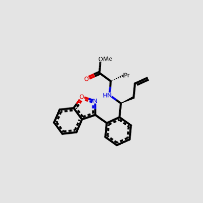 C=CC[C@H](N[C@H](C(=O)OC)C(C)C)c1ccccc1-c1noc2ccccc12